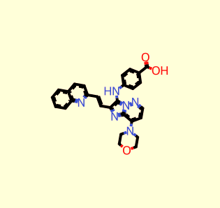 O=C(O)c1ccc(Nc2c(C=Cc3ccc4ccccc4n3)nc3c(N4CCOCC4)ccnn23)cc1